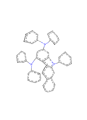 c1ccc(N(c2ccccc2)c2cc(N(c3ccccc3)c3ccccc3)c3c4cc5ccccc5cc4n(-c4ccccc4)c3c2)cc1